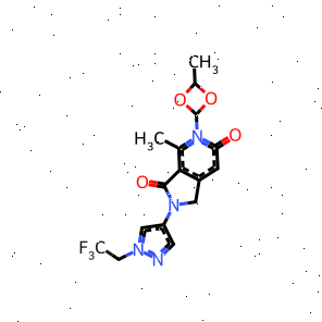 Cc1c2c(cc(=O)n1C1OC(C)O1)CN(c1cnn(CC(F)(F)F)c1)C2=O